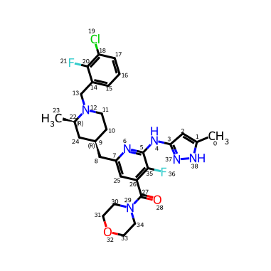 Cc1cc(Nc2nc(C[C@@H]3CCN(Cc4cccc(Cl)c4F)[C@H](C)C3)cc(C(=O)N3CCOCC3)c2F)n[nH]1